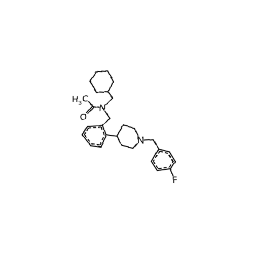 CC(=O)N(Cc1ccccc1C1CCN(Cc2ccc(F)cc2)CC1)CC1CCCCC1